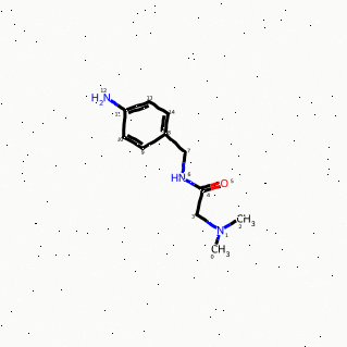 CN(C)CC(=O)NCc1ccc(N)cc1